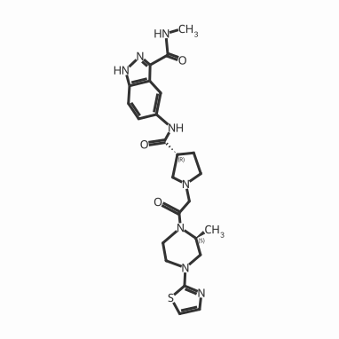 CNC(=O)c1n[nH]c2ccc(NC(=O)[C@@H]3CCN(CC(=O)N4CCN(c5nccs5)C[C@@H]4C)C3)cc12